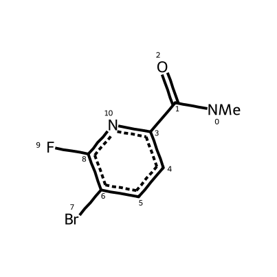 CNC(=O)c1ccc(Br)c(F)n1